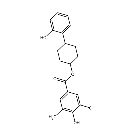 Cc1cc(C(=O)OC2CCC(c3ccccc3O)CC2)cc(C)c1O